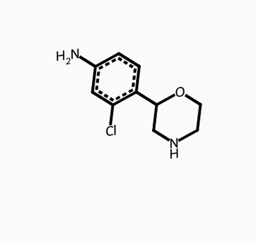 Nc1ccc(C2CNCCO2)c(Cl)c1